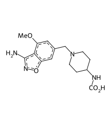 COc1cc(CN2CCC(NC(=O)O)CC2)cc2onc(N)c12